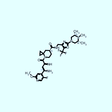 COc1cc(/C(N)=C/C(=N)C(=O)N2CC[C@H](C(=O)NCc3nc(N4C[C@@H](C)N(C)[C@@H](C)C4)oc3C(F)(F)F)CC23CC3)c(F)cn1